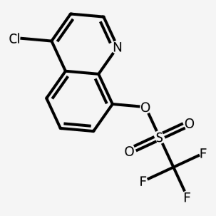 O=S(=O)(Oc1cccc2c(Cl)ccnc12)C(F)(F)F